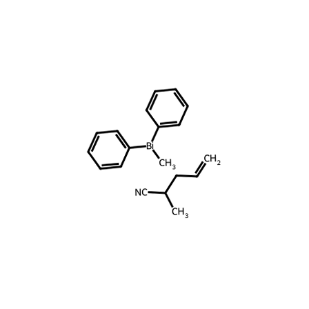 C=CCC(C)C#N.[CH3][Bi]([c]1ccccc1)[c]1ccccc1